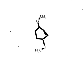 COC1C=CC(OC)CC1